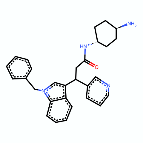 N[C@H]1CC[C@H](NC(=O)CC(c2cccnc2)c2cn(Cc3ccccc3)c3ccccc23)CC1